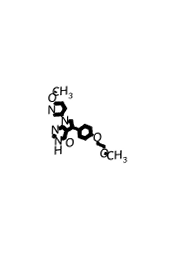 COCCOc1ccc(-c2cn(-c3ccc(OC)nc3)c3nc[nH]c(=O)c23)cc1